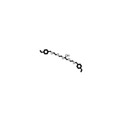 C=Cc1ccc(COCCOCCOC(O)COCCOCc2ccc(C=C)cc2)cc1